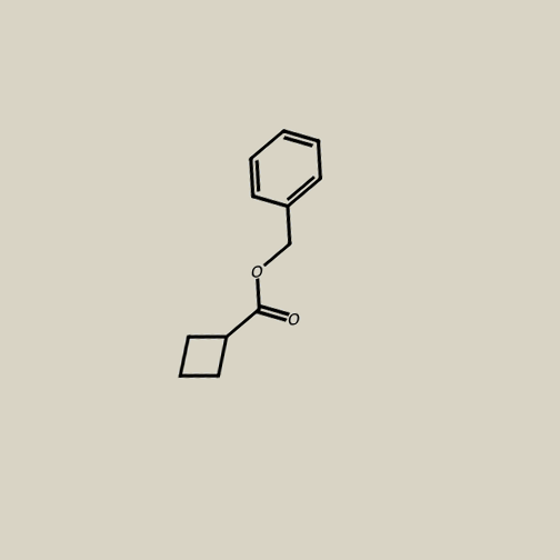 O=C(OCc1ccccc1)C1CCC1